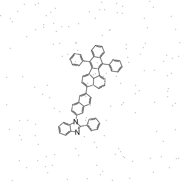 C1=CC2C(c3ccc4cc(-n5c(-c6ccccc6)nc6ccccc65)ccc4c3)=CC=C3c4c(c(-c5ccccc5)c5ccccc5c4-c4ccccc4)C(=C1)C32